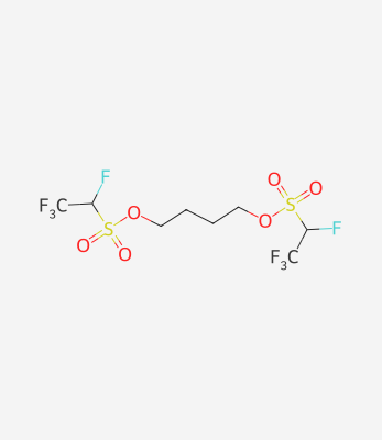 O=S(=O)(OCCCCOS(=O)(=O)C(F)C(F)(F)F)C(F)C(F)(F)F